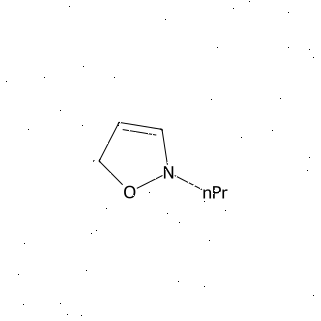 CCCN1C=C[CH]O1